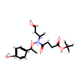 CC(ON(C(=O)CCC(=O)OC(C)(C)C)C(C)CC=O)c1ccc(Br)cc1